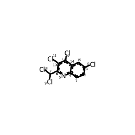 Clc1ccc2nc(C(Cl)Cl)c(Cl)c(Cl)c2c1